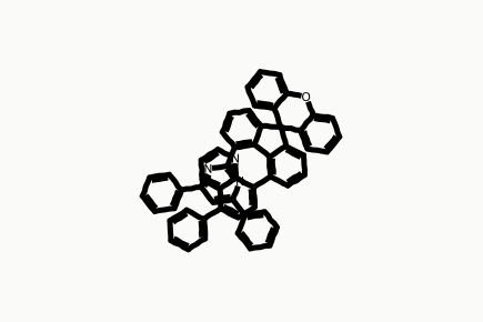 c1ccc(-c2cc(-c3ccccc3)nc(-c3cccc4c3-c3c(-c5ccc(-c6ccccc6)c6cccnc56)cccc3C43c4ccccc4Oc4ccccc43)n2)cc1